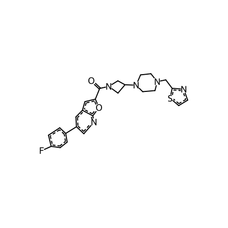 O=C(c1cc2cc(-c3ccc(F)cc3)cnc2o1)N1CC(N2CCN(Cc3nccs3)CC2)C1